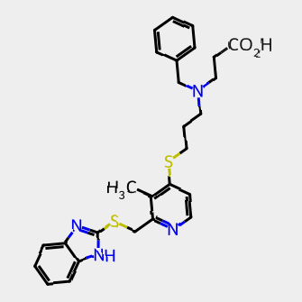 Cc1c(SCCCN(CCC(=O)O)Cc2ccccc2)ccnc1CSc1nc2ccccc2[nH]1